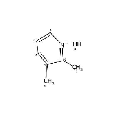 Cc1cccnc1C.[HH]